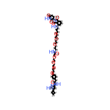 O=C(COCCOCCOCCOc1ccc(CC(=O)Nc2cc(C3CCC3)[nH]n2)cc1)NCCCOCCOCCOCCCNc1cccc2c1C(=O)N(C1CCC(=O)NC1=O)C2=O